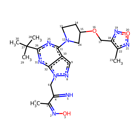 C/C(=N/O)C(=N)Cn1ncc2c(N3CCC(OCc4nonc4C)C3)nc(C(C)(C)C)nc21